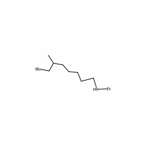 CCNCCCCCC(C)CC(C)(C)C